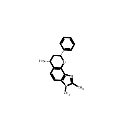 Cc1nc2c3c(ccc2n1C)[C@H](O)C[C@H](c1ccccc1)O3